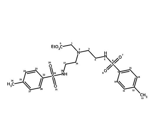 CCOC(=O)CN(CCNS(=O)(=O)c1ccc(C)cc1)CCNS(=O)(=O)c1ccc(C)cc1